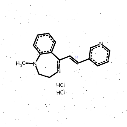 CN1CCN=C(/C=C/c2cccnc2)c2ccccc21.Cl.Cl